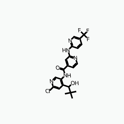 CC(C)(C)C(O)c1cc(Cl)ncc1NC(=O)c1ccnc(Nc2ccc(C(F)(F)F)cn2)c1